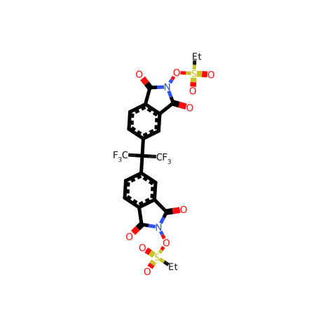 CCS(=O)(=O)ON1C(=O)c2ccc(C(c3ccc4c(c3)C(=O)N(OS(=O)(=O)CC)C4=O)(C(F)(F)F)C(F)(F)F)cc2C1=O